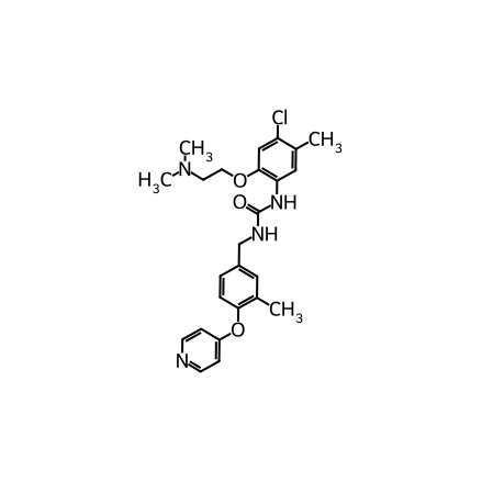 Cc1cc(NC(=O)NCc2ccc(Oc3ccncc3)c(C)c2)c(OCCN(C)C)cc1Cl